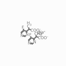 CC(C(=O)[O-])c1ncncc1F.CC(C(=O)[O-])c1ncncc1F.[Na+].[Na+]